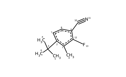 Cc1c(C(C)(C)C)ccc(C#N)c1F